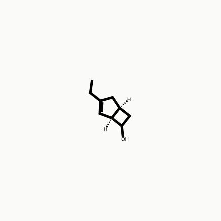 CCC1=C[C@@H]2C(O)C[C@@H]2C1